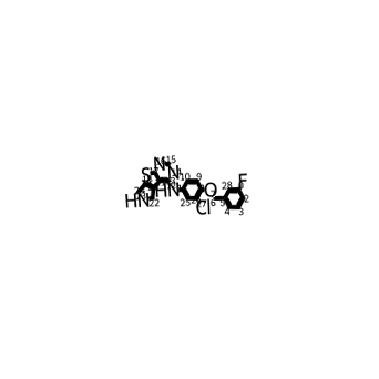 Fc1cccc(COc2ccc(Nc3ncnc4sc5c(c34)CNC5)cc2Cl)c1